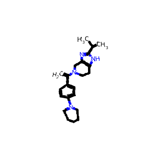 C=C(c1ccc(N2CCCCC2)cc1)N1CCc2[nH]c(C(C)C)nc2C1